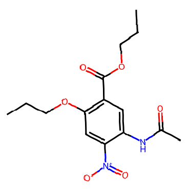 CCCOC(=O)c1cc(NC(C)=O)c([N+](=O)[O-])cc1OCCC